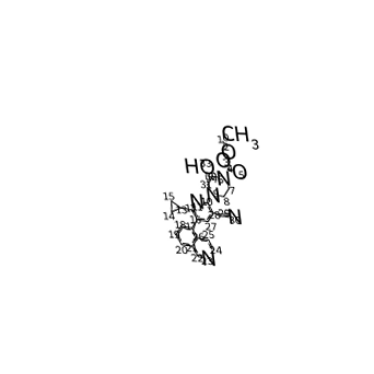 CCOOC(=O)N1CCN(c2nc(C3CC3)c(-c3cccc4cnccc34)cc2C#N)C[C@H]1O